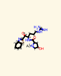 CC(=O)N1CC(O)CC1C(=O)NC(CCCNC(=N)N)C(=O)c1nc2ccccc2s1